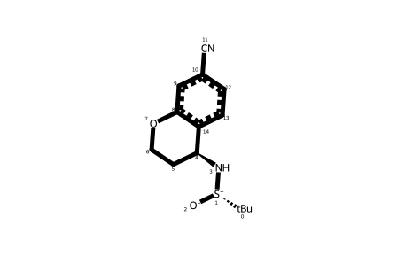 CC(C)(C)[S@+]([O-])N[C@H]1CCOc2cc(C#N)ccc21